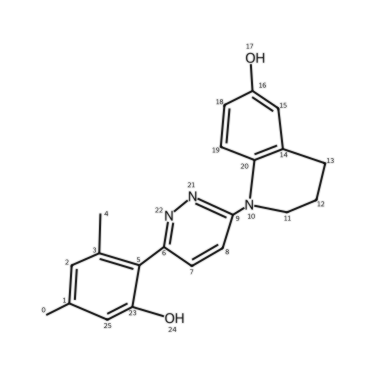 Cc1cc(C)c(-c2ccc(N3CCCc4cc(O)ccc43)nn2)c(O)c1